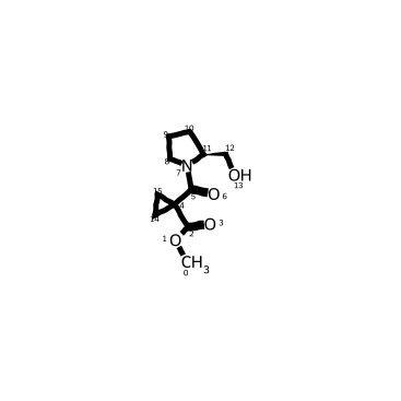 COC(=O)C1(C(=O)N2CCC[C@H]2CO)CC1